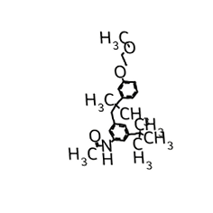 COCCOc1cccc(C(C)(C)Cc2cc(NC(C)=O)cc(C(C)(C)C)c2)c1